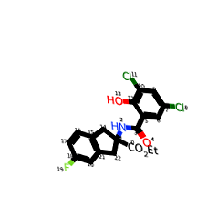 CCOC(=O)C1(NC(=O)c2cc(Cl)cc(Cl)c2O)Cc2ccc(F)cc2C1